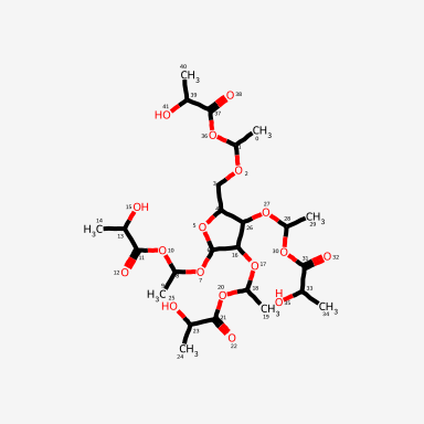 CC(OCC1OC(OC(C)OC(=O)C(C)O)C(OC(C)OC(=O)C(C)O)C1OC(C)OC(=O)C(C)O)OC(=O)C(C)O